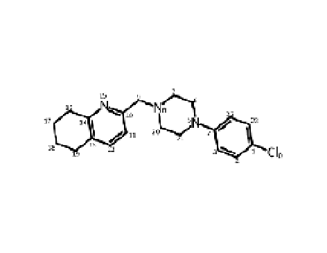 Clc1ccc(N2CCN(Cc3ccc4c(n3)CCCC4)CC2)cc1